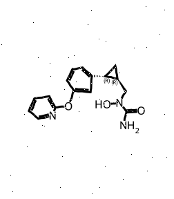 NC(=O)N(O)C[C@@H]1C[C@H]1c1cccc(Oc2ccccn2)c1